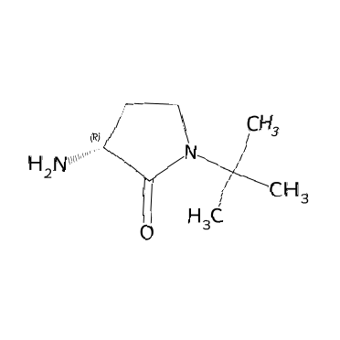 CC(C)(C)N1CC[C@@H](N)C1=O